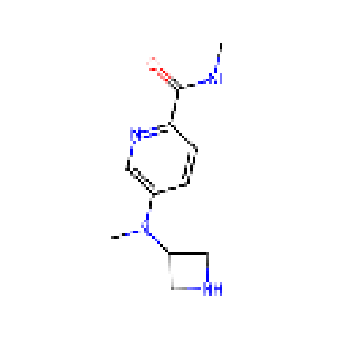 CNC(=O)c1ccc(N(C)C2CNC2)cn1